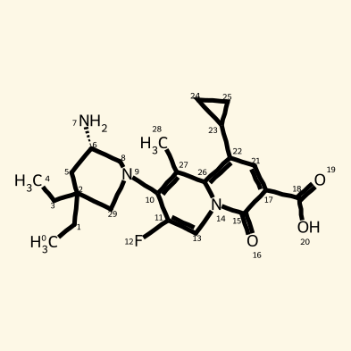 CCC1(CC)C[C@H](N)CN(c2c(F)cn3c(=O)c(C(=O)O)cc(C4CC4)c3c2C)C1